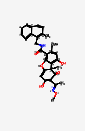 CCO/N=C(\C)C1=C(O)C=C2Oc3c(C(=O)NCc4c(C)ccc5ccccc45)c(OC)cc(O)c3[C@]2(C)C1=O